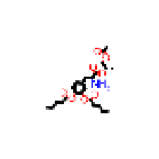 CCCCC(=O)Oc1ccc(C[C@H](N)C(=O)O[C@@H](C)COC(C)=O)cc1OC(=O)CCCC